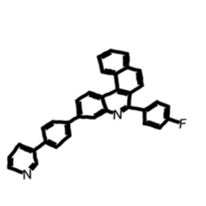 Fc1ccc(-c2nc3cc(-c4ccc(-c5cccnc5)cc4)ccc3c3c2ccc2ccccc23)cc1